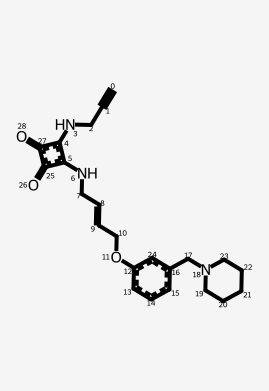 C#CCNc1c(NCC=CCOc2cccc(CN3CCCCC3)c2)c(=O)c1=O